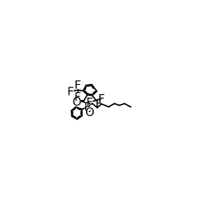 CCCCCCCCP(=O)(C(=O)c1c(C(F)(F)F)cccc1C(F)(F)F)c1ccccc1